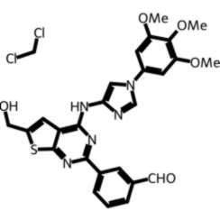 COc1cc(-n2cnc(Nc3nc(-c4cccc(C=O)c4)nc4sc(CO)cc34)c2)cc(OC)c1OC.ClCCl